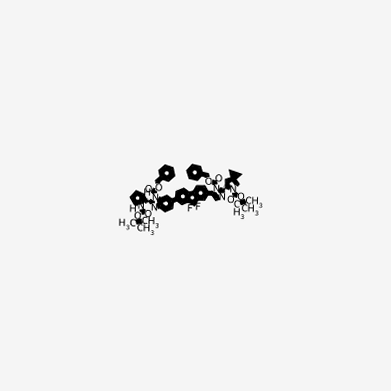 CC(C)(C)OC(=O)N1CC2(CC2)C[C@H]1c1ncc(-c2ccc3c(c2)C(F)(F)c2cc(-c4ccc5nc([C@@H]6[C@H]7CC[C@H](C7)N6C(=O)OC(C)(C)C)n(C(=O)OCc6ccccc6)c5c4)ccc2-3)n1C(=O)OCc1ccccc1